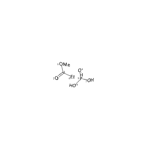 CCC(=O)OC.O=[PH](O)O